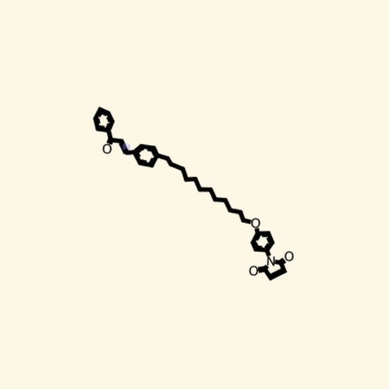 O=C(/C=C/c1ccc(CCCCCCCCCCCCOc2ccc(N3C(=O)C=CC3=O)cc2)cc1)c1ccccc1